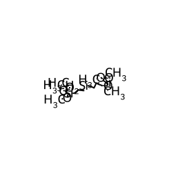 CO[Si](CCC[SiH2]CCC[Si](OC)(OC)OC)(OC)OC